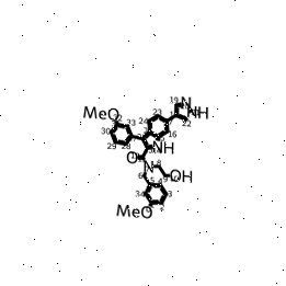 COc1cccc(CN(CCO)C(=O)c2[nH]c3cc(-c4cn[nH]c4)ccc3c2-c2cccc(OC)c2)c1